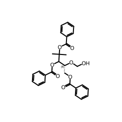 CC(C)(OC(=O)c1ccccc1)C(OC(=O)c1ccccc1)[C@@H](COC(=O)c1ccccc1)OCO